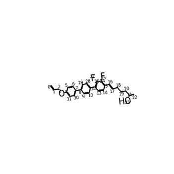 C=CCOc1ccc(-c2ccc(-c3ccc(C=CCCCC(C)O)c(F)c3F)cc2)cc1